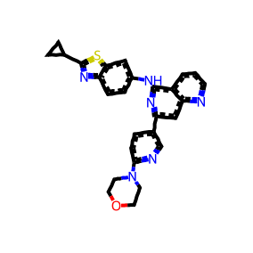 c1cnc2cc(-c3ccc(N4CCOCC4)nc3)nc(Nc3ccc4nc(C5CC5)sc4c3)c2c1